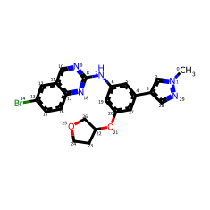 Cn1cc(-c2cc(Nc3ncc4cc(Br)ccc4n3)cc(OC3CCOC3)c2)cn1